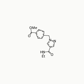 CCNC(=O)c1cnn(Cc2ccc(C(=O)OC)cc2)c1